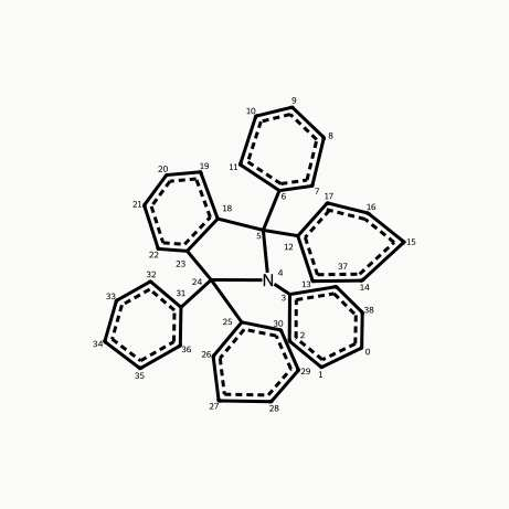 c1ccc(N2C(c3ccccc3)(c3ccccc3)c3ccccc3C2(c2ccccc2)c2ccccc2)cc1